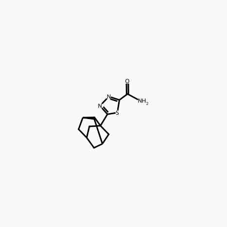 NC(=O)c1nnc(C23CC4CC(CC(C4)C2)C3)s1